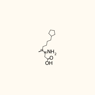 C[C@@H](CCCCC1CCCC1)[C@H](N)CC(=O)O